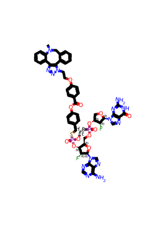 BP(=O)(OC[C@H]1O[C@@H](n2cnc3c(N)ncnc32)[C@H](F)[C@@H]1OP(=O)(OCC)SCc1ccc(OC(=O)c2ccc(OCCn3nnc4c3-c3ccccc3CN(C)c3ccccc3-4)cc2)cc1)O[C@@H]1CO[C@@H](n2cnc3c(=O)[nH]c(N)nc32)[C@@H]1F